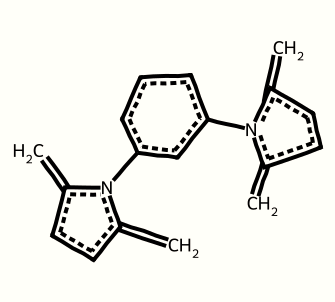 C=c1ccc(=C)n1-c1cccc(-n2c(=C)ccc2=C)c1